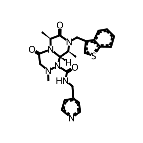 C[C@H]1[C@H]2N(C(=O)CN(C)N2C(=O)NCc2ccncc2)[C@@H](C)C(=O)N1Cc1csc2ccccc12